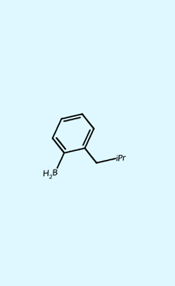 Bc1ccccc1CC(C)C